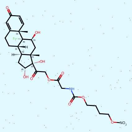 C[C@]12C=CC(=O)C=C1CC[C@H]1[C@@H]3C[C@@H](O)[C@](O)(C(=O)COC(=O)CNC(=O)OCCCCO[N+](=O)[O-])[C@@]3(C)C[C@H](O)[C@@]12F